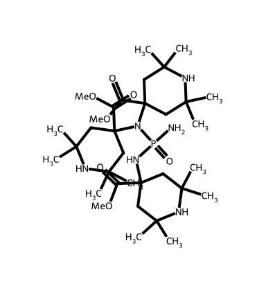 COC(=O)C1(NP(N)(=O)N(C2(C(=O)OC)CC(C)(C)NC(C)(C)C2)C2(C(=O)OC)CC(C)(C)NC(C)(C)C2)CC(C)(C)NC(C)(C)C1